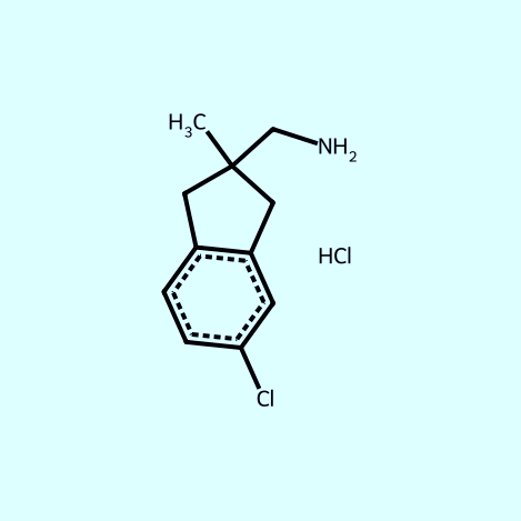 CC1(CN)Cc2ccc(Cl)cc2C1.Cl